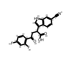 N#Cc1ccc2c(C(CC(=O)c3ccc(F)cc3F)C(=O)O)c[nH]c2c1